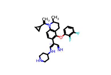 C=C(C1CC1)N1c2ccc(/C(C=N)=C/NC3CCNCC3)c(Oc3cccc(F)c3F)c2CCC1C